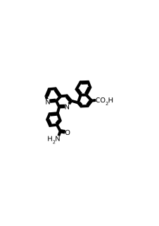 NC(=O)c1cccc(-c2nc(-c3ccc(C(=O)O)c4ccccc34)cc3cccnc23)c1